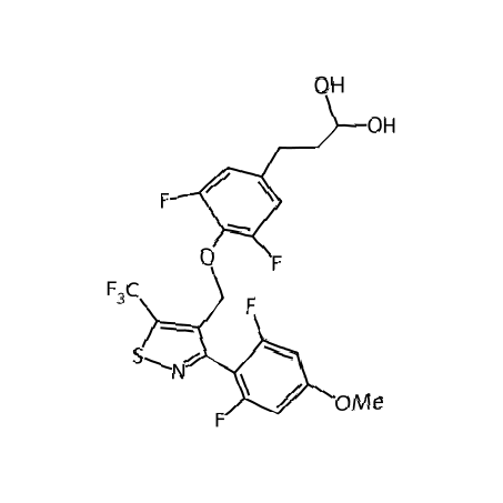 COc1cc(F)c(-c2nsc(C(F)(F)F)c2COc2c(F)cc(CCC(O)O)cc2F)c(F)c1